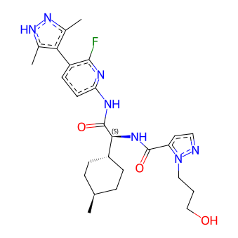 Cc1n[nH]c(C)c1-c1ccc(NC(=O)[C@@H](NC(=O)c2ccnn2CCCO)[C@H]2CC[C@H](C)CC2)nc1F